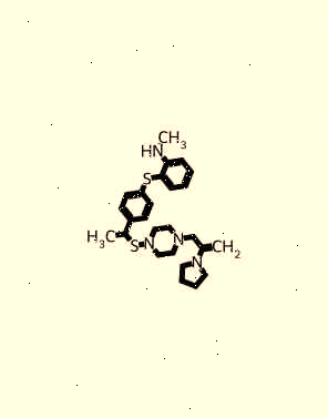 C=C(CN1CCN(SC(C)c2ccc(Sc3ccccc3NC)cc2)CC1)N1CCCC1